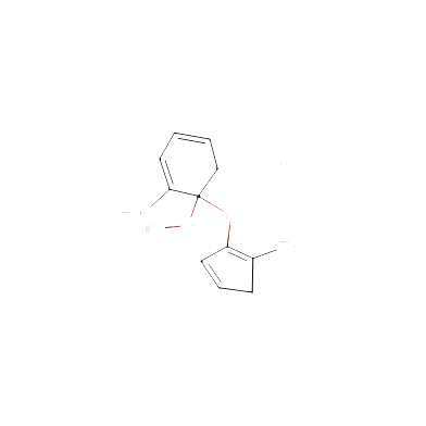 CC1=CC=CCC1(OC1=[C]([Ti+2])CC=C1)OC(C)C.[Cl-].[Cl-]